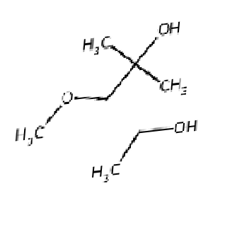 CCO.COCC(C)(C)O